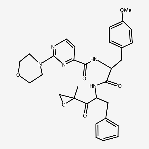 COc1ccc(CC(NC(=O)c2ccnc(N3CCOCC3)n2)C(=O)NC(Cc2ccccc2)C(=O)C2(C)CO2)cc1